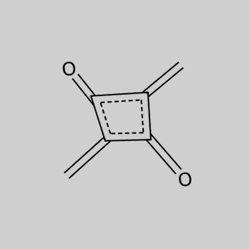 C=c1c(=O)c(=C)c1=O